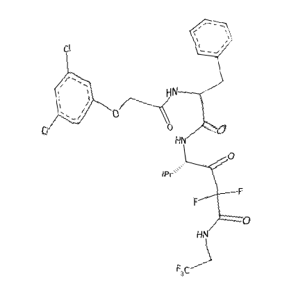 CC(C)[C@H](NC(=O)C(Cc1ccccc1)NC(=O)COc1cc(Cl)cc(Cl)c1)C(=O)C(F)(F)C(=O)NCC(F)(F)F